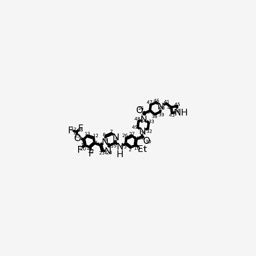 CCc1cc(Nc2nccn3c(-c4ccc(OC(F)F)c(F)c4F)cnc23)ccc1C(=O)N1CCN(C(=O)C2CCN(CC3CNC3)CC2)CC1